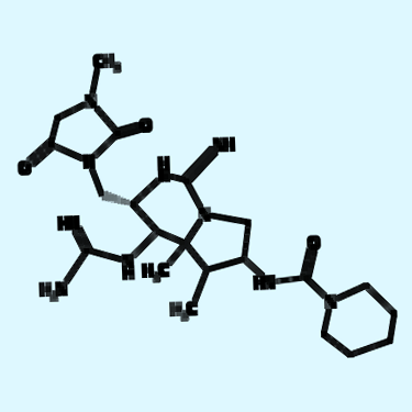 CC1C(NC(=O)N2CCCCC2)CN2C(=N)N[C@@H](CN3C(=O)CN(C)C3=O)C(NC(=N)N)C12C